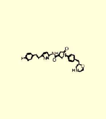 O=C(Nc1ccc(CCc2ccc(F)cc2)nn1)C1CC(=O)N(c2ccc(CC3CNCCO3)cc2)C1